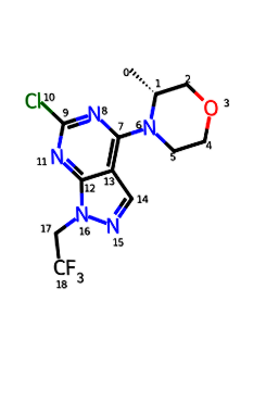 C[C@@H]1COCCN1c1nc(Cl)nc2c1cnn2CC(F)(F)F